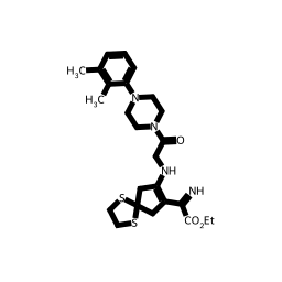 CCOC(=O)C(=N)C1=C(NCC(=O)N2CCN(c3cccc(C)c3C)CC2)CC2(C1)SCCS2